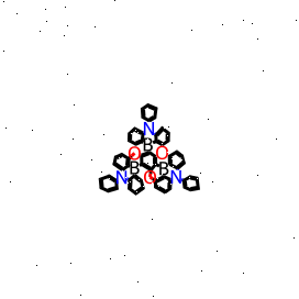 c1ccc(N2c3ccccc3B3c4c(cccc42)Oc2c4c(c5c(c23)Oc2cccc3c2B5c2ccccc2N3c2ccccc2)Oc2cccc3c2B4c2ccccc2N3c2ccccc2)cc1